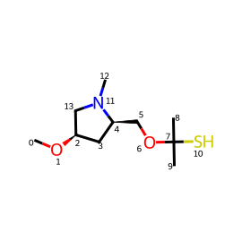 CO[C@@H]1C[C@H](COC(C)(C)S)N(C)C1